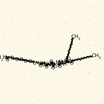 CCCCCCCCCCCCCCCC(=O)OCC(CSCC(N)C(=O)C(N)SC1CC(=O)N(CCC(=O)NOCC(=O)NCCOCCOCCOCCOCCOCCOCCC(=O)CN)C1=O)OC(=O)CCCCCCCCCCCCCCC